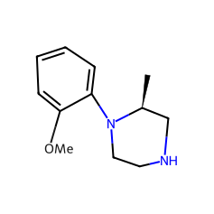 COc1ccccc1N1CCNC[C@@H]1C